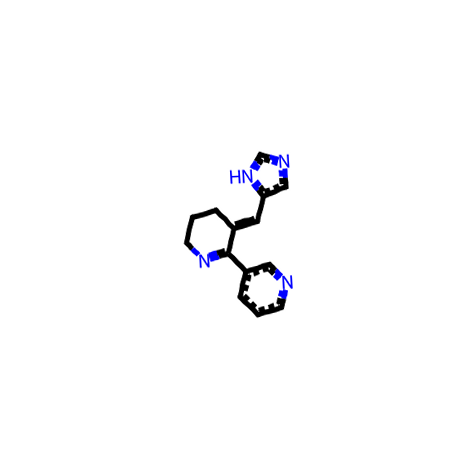 C(=C1CCCN=C1c1cccnc1)c1cnc[nH]1